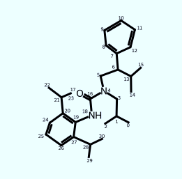 CC(C)CN(CC(c1ccccc1)C(C)C)C(=O)Nc1c(C(C)C)cccc1C(C)C